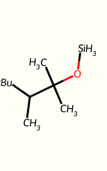 CC(C(C)(C)C)C(C)(C)O[SiH3]